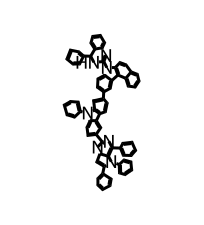 c1ccc(-c2nc(-c3ccc4c(c3)c3ccc(-c5ccc6c(c5)c5c7ccccc7ccc5n6C5=Nc6ccccc6C(c6ccccc6)N5)cc3n4-c3ccccc3)nc3cc(-c4ccccc4)n(-c4ccccc4)c23)cc1